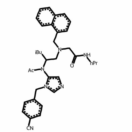 CCCNC(=O)CN(Cc1cccc2ccccc12)CC(C(C)CC)N(C(C)=O)c1cncn1Cc1ccc(C#N)cc1